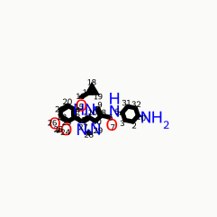 N[C@H]1CC[C@H](NC(=O)c2c[nH]c3c(-c4c(OCC5CC5)ccc5c4OCO5)ncnc23)CC1